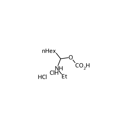 CCCCCCC(NCC)OC(=O)O.Cl.Cl